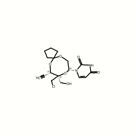 C#C[C@@H]1OC2(CCCC2)OC[C@H](n2ccc(=O)[nH]c2=O)O[C@@]1(CO)CCl